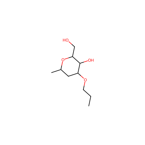 CCCOC1CC(C)OC(CO)C1O